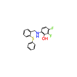 Oc1c(NCc2ccccc2Sc2ccccc2)ccc(F)c1F